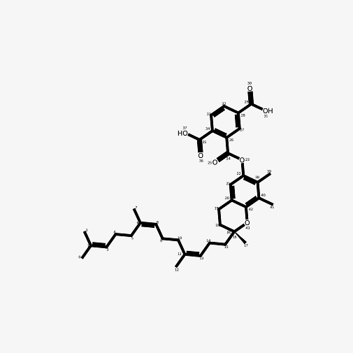 CC(C)=CCCC(C)=CCCC(C)=CCC[C@]1(C)CCc2cc(OC(=O)c3cc(C(=O)O)ccc3C(=O)O)c(C)c(C)c2O1